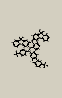 CC(C)(C)c1ccc(N2B3c4cc5c(cc4-n4c6ccc7c(c6c6ccc(c3c64)-c3cc4c(cc32)sc2ccc(C(C)(C)C)cc24)-c2ccccc2C7(C)C)C(C)(C)c2ccccc2-5)cc1